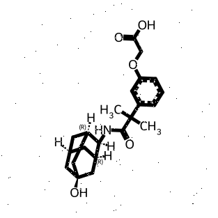 CC(C)(C(=O)N[C@H]1[C@@H]2C[C@@H]3C[C@@H]1C[C@](O)(C2)C3)c1cccc(OCC(=O)O)c1